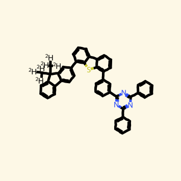 [2H]C([2H])([2H])C1(C([2H])([2H])[2H])c2ccccc2-c2ccc(-c3cccc4c3sc3c(-c5cccc(-c6nc(-c7ccccc7)nc(-c7ccccc7)n6)c5)cccc34)cc21